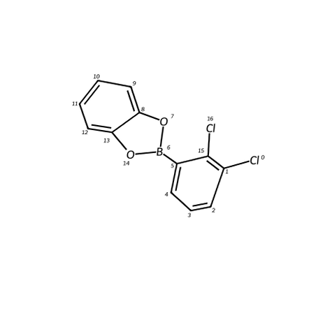 Clc1cccc(B2Oc3ccccc3O2)c1Cl